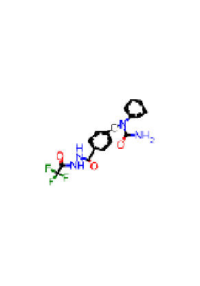 NC(=O)N(Cc1ccc(C(=O)NNC(=O)C(F)(F)F)cc1)c1ccccc1